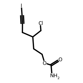 NC(=O)OCCC(CCl)CC#CI